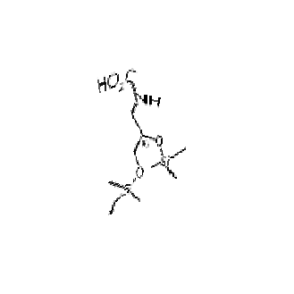 C[Si](C)(C)OC[C@@H](CNC(=O)O)O[Si](C)(C)C